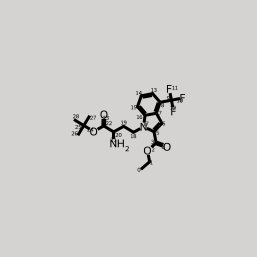 CCOC(=O)c1cc2c(C(F)(F)F)cccc2n1CCC(N)C(=O)OC(C)(C)C